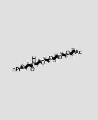 CCCOCCC(=O)NCCOCCOCCOCCOCCC(C)=O